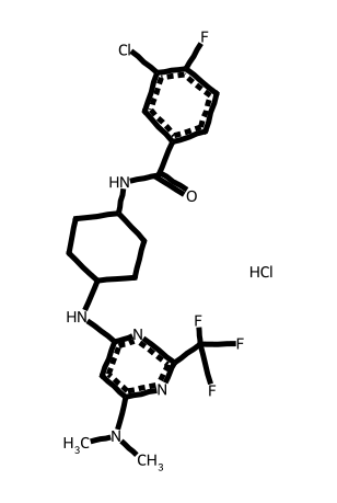 CN(C)c1cc(NC2CCC(NC(=O)c3ccc(F)c(Cl)c3)CC2)nc(C(F)(F)F)n1.Cl